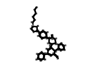 CCCCCC[C@H]1CCN(c2ccc(C3CN(C4=NC(c5ccncc5)=CC(=O)C4c4ccccc4)CCN3)cc2)C1